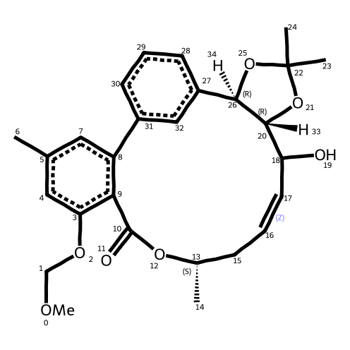 COCOc1cc(C)cc2c1C(=O)O[C@@H](C)C/C=C\C(O)[C@H]1OC(C)(C)O[C@@H]1c1cccc-2c1